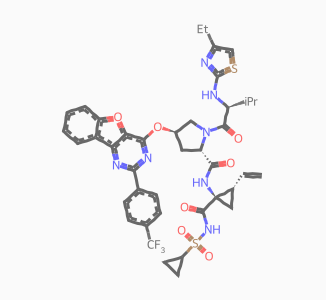 C=C[C@@H]1C[C@]1(NC(=O)[C@@H]1C[C@@H](Oc2nc(-c3ccc(C(F)(F)F)cc3)nc3c2oc2ccccc23)CN1C(=O)[C@@H](Nc1nc(CC)cs1)C(C)C)C(=O)NS(=O)(=O)C1CC1